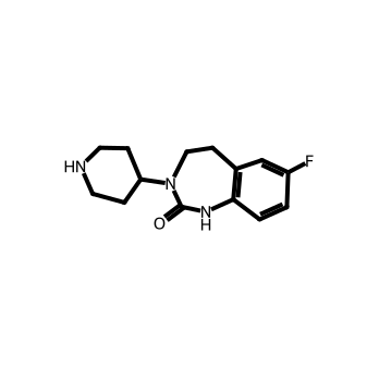 O=C1Nc2ccc(F)cc2CCN1C1CCNCC1